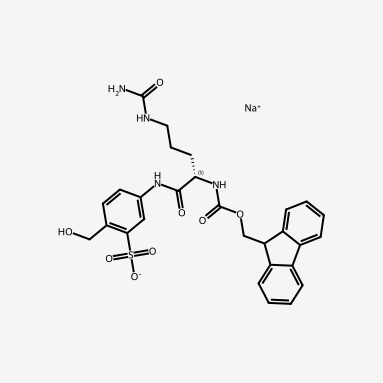 NC(=O)NCCC[C@H](NC(=O)OCC1c2ccccc2-c2ccccc21)C(=O)Nc1ccc(CO)c(S(=O)(=O)[O-])c1.[Na+]